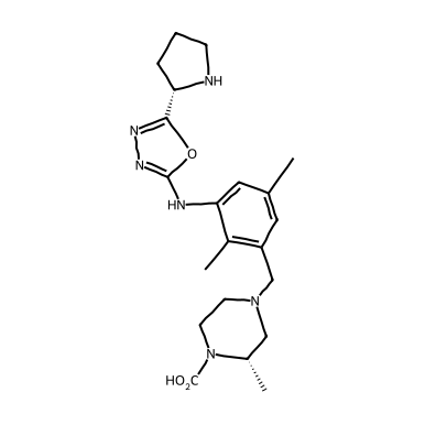 Cc1cc(CN2CCN(C(=O)O)[C@@H](C)C2)c(C)c(Nc2nnc([C@@H]3CCCN3)o2)c1